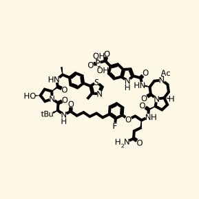 CC(=O)N1CC[C@H]2CC[C@@H](C(=O)N[C@@H](CCC(N)=O)COc3cccc(CCCCCC(=O)N[C@H](C(=O)N4C[C@H](O)C[C@H]4C(=O)N[C@@H](C)c4ccc(-c5scnc5C)cc4)C(C)(C)C)c3F)N2C(=O)[C@@H](NC(=O)c2cc3cc(C(=O)P(=O)(O)O)ccc3[nH]2)C1